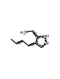 C/C=C/C=c1/cn[nH]/c1=C/N